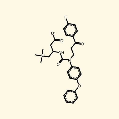 C[N+](C)(C)CC(CC(=O)[O-])NC(=O)N(CCC(=O)c1ccc(F)cc1)c1ccc(Oc2ccccc2)cc1